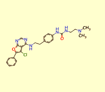 CN(C)CCNC(=O)Nc1ccc(CCNc2ncnc3oc(-c4ccccc4)c(Cl)c23)cc1